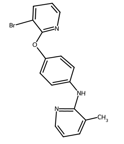 Cc1cccnc1Nc1ccc(Oc2ncccc2Br)cc1